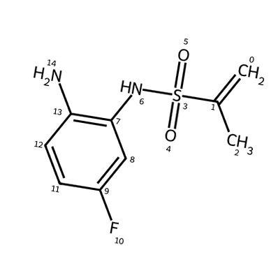 C=C(C)S(=O)(=O)Nc1cc(F)ccc1N